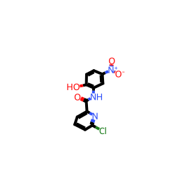 O=C(Nc1cc([N+](=O)[O-])ccc1O)c1cccc(Cl)n1